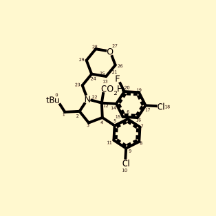 CC(C)(C)CC1CC(c2cccc(Cl)c2)C(C(=O)O)(c2ccc(Cl)cc2F)N1CC1CCOCC1